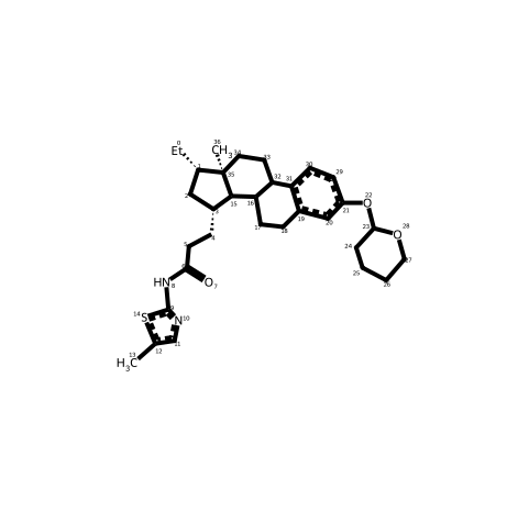 CC[C@H]1C[C@@H](CCC(=O)Nc2ncc(C)s2)C2C3CCc4cc(OC5CCCCO5)ccc4C3CC[C@@]21C